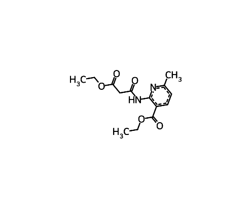 CCOC(=O)CC(=O)Nc1nc(C)ccc1C(=O)OCC